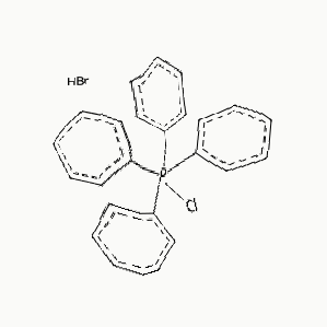 Br.ClP(c1ccccc1)(c1ccccc1)(c1ccccc1)c1ccccc1